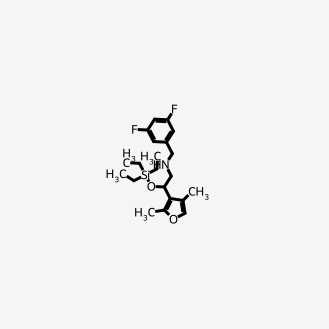 CC[Si](CC)(CC)OC(CNCc1cc(F)cc(F)c1)c1c(C)coc1C